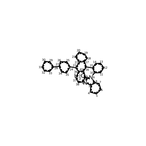 Cc1nc2ccccc2n1-c1ccccc1-c1c2ccccc2c(-c2ccc(-c3ccccc3)cc2)c2ccccc12